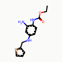 CCOC(=O)Nc1ccc(NCc2cccs2)cc1N